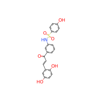 O=C(/C=C/c1cc(O)ccc1O)c1cccc(NS(=O)(=O)c2ccc(O)cc2)c1